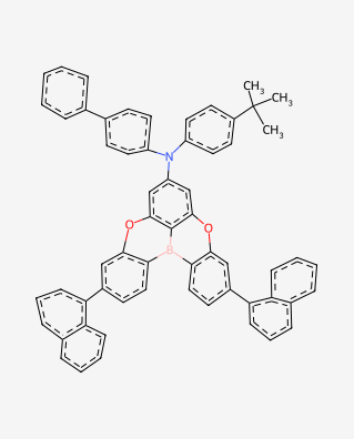 CC(C)(C)c1ccc(N(c2ccc(-c3ccccc3)cc2)c2cc3c4c(c2)Oc2cc(-c5cccc6ccccc56)ccc2B4c2ccc(-c4cccc5ccccc45)cc2O3)cc1